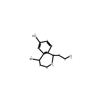 Oc1ccc2c(c1)C(Br)CCOC2CCCl